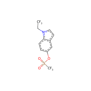 O=S(=O)(Oc1ccc2c(ccn2CC(F)(F)F)c1)C(F)(F)F